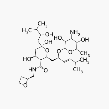 CC(C)/C=C/[C@@H](C[C@@H]1O[C@](O)(C[C@@H](O)C(C)C)C[C@H](O)[C@H]1C(=O)NC[C@@H]1CCO1)OC1OC(C)C(O)C(N)C1O